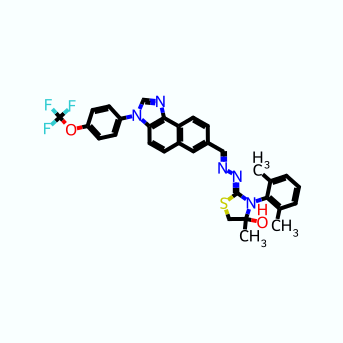 Cc1cccc(C)c1N1C(=NN=Cc2ccc3c(ccc4c3ncn4-c3ccc(OC(F)(F)F)cc3)c2)SCC1(C)O